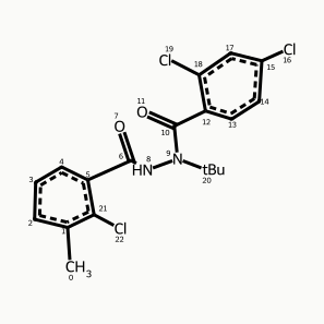 Cc1cccc(C(=O)NN(C(=O)c2ccc(Cl)cc2Cl)C(C)(C)C)c1Cl